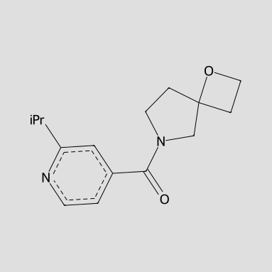 CC(C)c1cc(C(=O)N2CCC3(CCO3)C2)ccn1